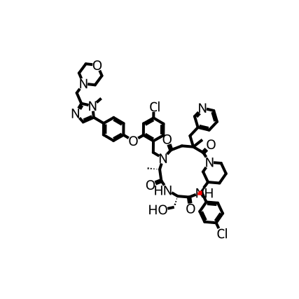 C[C@H]1C(=O)N[C@@H](CO)C(=O)N[C@@]2(Cc3ccc(Cl)cc3)CCCN(C2)C(=O)C(C)(Cc2cccnc2)CC(=O)N1Cc1ccc(Cl)cc1Oc1ccc(-c2cnc(CN3CCOCC3)n2C)cc1